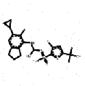 Cc1c(C2CC2)cc2c(c1NC(O)N=S(N)(=O)c1sc(C(C)(C)O)cc1F)CCC2